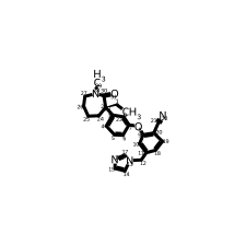 CC[C@@]1(c2cccc(Oc3cc(Cn4ccnc4)ccc3C#N)c2)CCCCN(C)C1=O